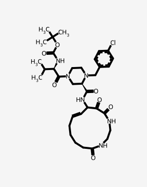 CC(C)[C@@H](NC(=O)OC(C)(C)C)C(=O)N1CCN(Cc2ccc(Cl)cc2)[C@@H](C(=O)NC2/C=C/CCCCC(=O)NCCNC(=O)C2=O)C1